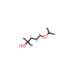 CC(C)OCCCC(C)(C)O